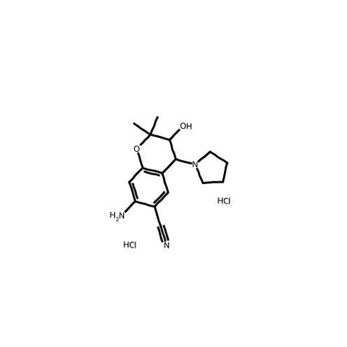 CC1(C)Oc2cc(N)c(C#N)cc2C(N2CCCC2)C1O.Cl.Cl